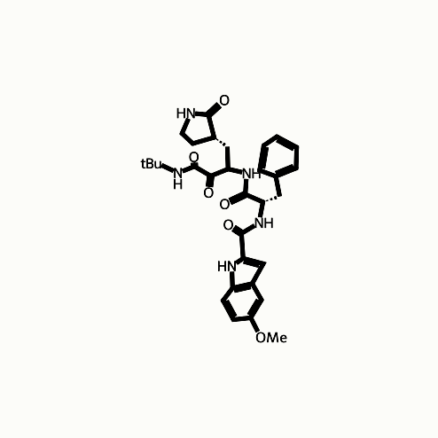 COc1ccc2[nH]c(C(=O)N[C@@H](Cc3ccccc3)C(=O)NC(C[C@@H]3CCNC3=O)C(=O)C(=O)NC(C)(C)C)cc2c1